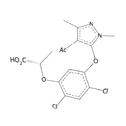 CC(=O)c1c(C)nn(C)c1Oc1cc(O[C@@H](C)C(=O)O)c(Cl)cc1Cl